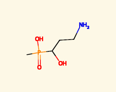 CP(=O)(O)C(O)CCN